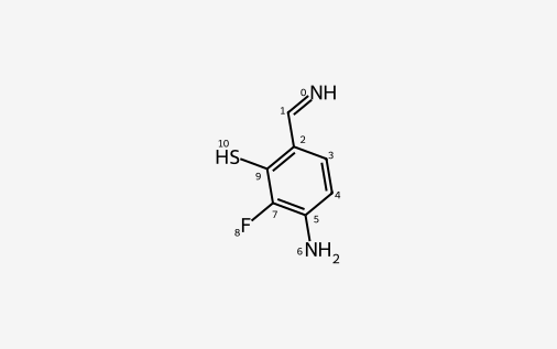 N=Cc1ccc(N)c(F)c1S